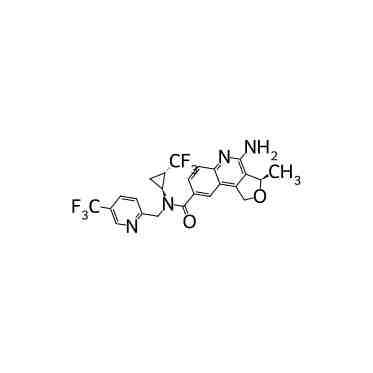 C[C@H]1OCc2c1c(N)nc1ccc(C(=O)N(Cc3ccc(C(F)(F)F)cn3)[C@H]3C[C@@H]3C(F)(F)F)cc21